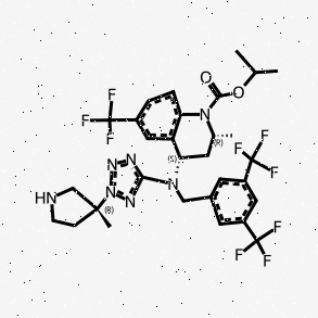 CC(C)OC(=O)N1c2ccc(C(F)(F)F)cc2[C@@H](N(Cc2cc(C(F)(F)F)cc(C(F)(F)F)c2)c2nnn([C@]3(C)CCNC3)n2)C[C@H]1C